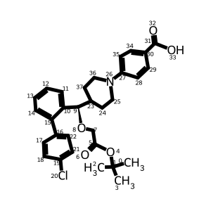 CC(C)(C)OC(=O)CO[C@@H](c1ccccc1-c1ccc(Cl)cc1)C1CCN(c2ccc(C(=O)O)cc2)CC1